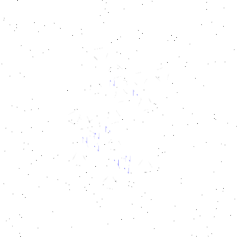 c1ccc(-c2ccc3c(c2)N(c2ccccc2)c2cc(-c4ccc5c(c4)c4cc(-c6ccccc6)ccc4n5-c4ccc(-c5nc(-c6ccccc6)nc(-c6ccccc6)n5)cc4-c4nc(-c5ccccc5)nc(-c5ccccc5)n4)cc4c2B3c2ccc(-c3ccccc3)cc2N4c2ccccc2)cc1